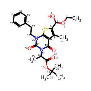 CCOC(O)c1sc2c(c1C)c(=O)n(C(C)C(=O)OC(C)(C)C)c(=O)n2CCc1ccccc1